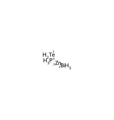 P.[BiH3].[TeH2].[Zn]